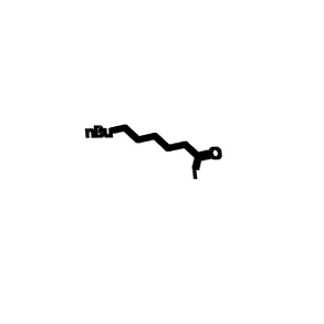 CCCCCCCCCC(=O)I